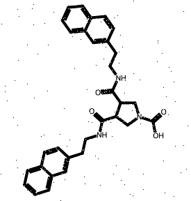 O=C(NCCc1ccc2ccccc2c1)C1CN(C(=O)O)CC1C(=O)NCCc1ccc2ccccc2c1